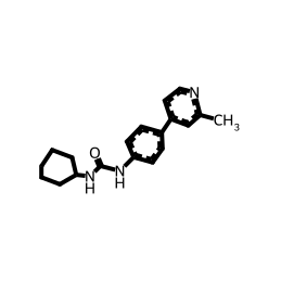 Cc1cc(-c2ccc(NC(=O)NC3CCCCC3)cc2)ccn1